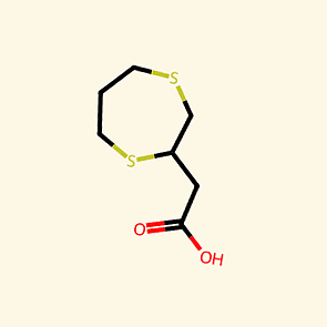 O=C(O)CC1CSCCCS1